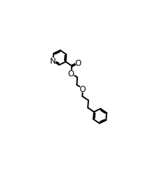 O=C(OCCOCCCc1ccccc1)c1cccnc1